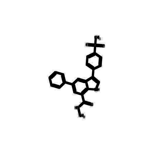 CS(=O)(=O)c1ccc(-c2c[nH]c3c(C(=O)NN)cc(-c4ccccc4)cc23)cc1